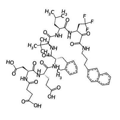 Cc1ccccc1C[C@H](NC(=O)[C@H](CCC(=O)O)NC(=O)[C@H](CC(=O)O)NC(=O)CCC(=O)O)C(=O)N[C@H](C(=O)N[C@@H](CC(C)C)C(=O)N[C@@H](CC(F)(F)F)C(=O)C(=O)NCCCc1ccc2ccccc2c1)C(C)(C)C